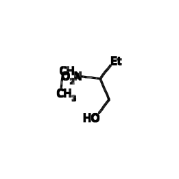 CC.CCC(CO)[N+](=O)[O-]